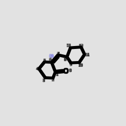 O=C1CCCC/C1=C/C1CCCCC1